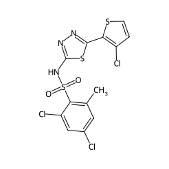 Cc1cc(Cl)cc(Cl)c1S(=O)(=O)Nc1nnc(-c2sccc2Cl)s1